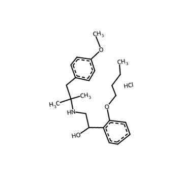 CCCCOc1ccccc1C(O)CNC(C)(C)Cc1ccc(OC)cc1.Cl